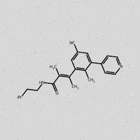 C/C(C(=O)NCCC(C)C)=C(/C)c1cc(C#N)cc(-c2ccncc2)c1C